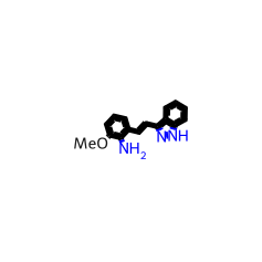 COc1cccc(C=Cc2n[nH]c3ccccc23)c1N